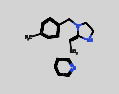 O=[N+]([O-])C=C1NCCN1Cc1ccc(C(F)(F)F)cc1.c1ccncc1